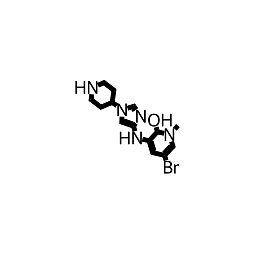 CN1C=C(Br)C=C(Nc2cn(C3CCNCC3)cn2)C1O